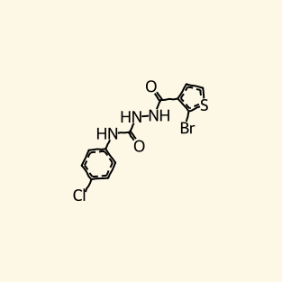 O=C(NNC(=O)c1ccsc1Br)Nc1ccc(Cl)cc1